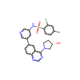 O=S(=O)(Nc1cncc(-c2ccc3ncnc(N4CC[C@H](O)C4)c3c2)c1)c1ccc(F)cc1F